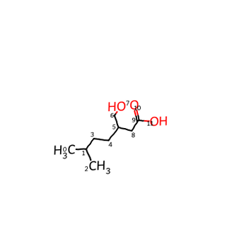 CC(C)CCC(CO)CC(=O)O